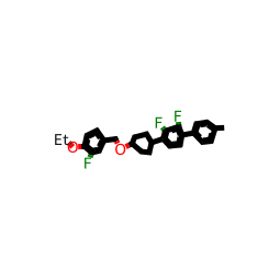 CCOc1ccc(COC2CCC(c3ccc(-c4ccc(C)cc4)c(F)c3F)CC2)cc1F